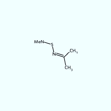 CNSN=C(C)C